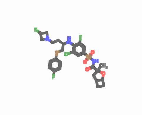 CC1(C(=O)NS(=O)(=O)c2cc(F)c(N[C@H](CCN3CC(F)C3)CSc3ccc(F)cc3)c(Cl)c2)CC2CCC2O1